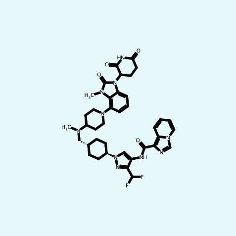 CN(C[C@H]1CC[C@H](n2cc(NC(=O)c3ncn4ccccc34)c(C(F)F)n2)CC1)C1CCN(c2cccc3c2n(C)c(=O)n3C2CCC(=O)NC2=O)CC1